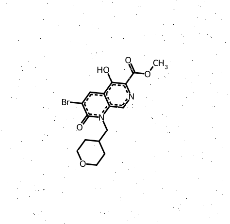 COC(=O)c1ncc2c(cc(Br)c(=O)n2CC2CCOCC2)c1O